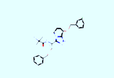 CC(C)(N)C(=O)N[C@H](COCc1ccccc1)c1nnc2c(OCc3cccc(Cl)c3)cccn12